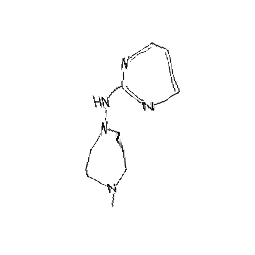 CN1CCN(Nc2ncccn2)CC1